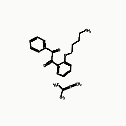 C=C=C(C)C.CCCCCOc1ccccc1C(=O)C(=O)c1ccccc1